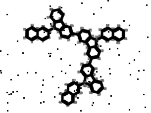 C1=Cc2c(n(-c3ccc4ccccc4c3)c3ccc(-c4ccc5c(c4)c4cc(-c6ccc7c(c6)c6ccccc6n7-c6ccc7ccccc7c6)ccc4n5-c4ccc5ccccc5c4)cc23)CC1